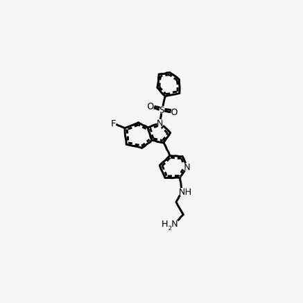 NCCNc1ccc(-c2cn(S(=O)(=O)c3ccccc3)c3cc(F)ccc23)cn1